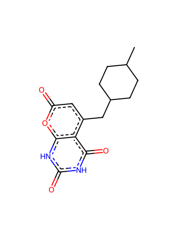 CC1CCC(Cc2cc(=O)oc3[nH]c(=O)[nH]c(=O)c23)CC1